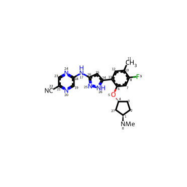 CN[C@@H]1CC[C@@H](Oc2cc(F)c(C)cc2-c2cc(Nc3cnc(C#N)cn3)n[nH]2)C1